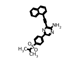 CC(C)S(=O)(=O)c1ccc(-c2cnc(N)c(C#Cc3cccc4ccccc34)n2)cc1